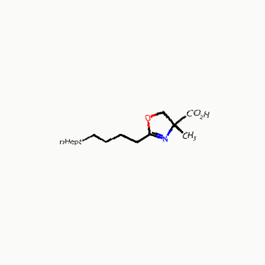 CCCCCCCCCCCC1=NC(C)(C(=O)O)CO1